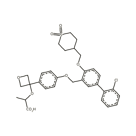 CC(OC1(c2ccc(OCc3cc(-c4ccccc4Cl)ccc3OCC3CCS(=O)(=O)CC3)cc2)COC1)C(=O)O